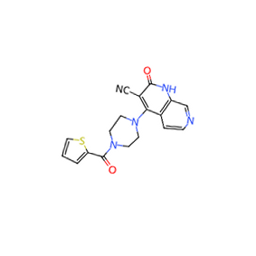 N#Cc1c(N2CCN(C(=O)c3cccs3)CC2)c2ccncc2[nH]c1=O